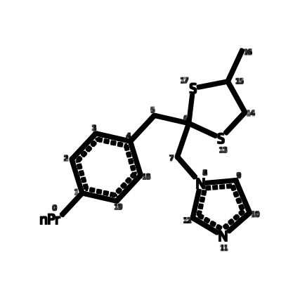 CCCc1ccc(CC2(Cn3ccnc3)SCC(C)S2)cc1